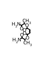 CC(OC(=O)/C=C\C(=O)OC(C)C(N)=O)C(N)=O